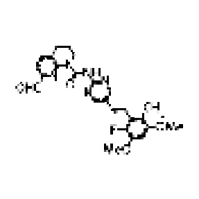 COc1cc(OC)c(F)c(/C=C/c2cnc(NC(=O)N3CCCc4ccc(C=O)nc43)nc2)c1C